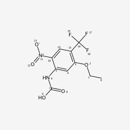 CCOc1cc(NC(=O)O)c([N+](=O)[O-])cc1C(F)(F)F